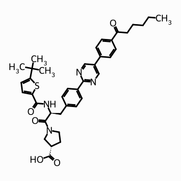 CCCCCC(=O)c1ccc(-c2cnc(-c3ccc(C[C@H](NC(=O)c4ccc(C(C)(C)C)s4)C(=O)N4CC[C@H](C(=O)O)C4)cc3)nc2)cc1